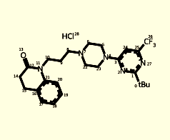 CC(C)(C)c1nc(N2CCN(CCCN3C(=O)CCc4ccccc43)CC2)cc(C(F)(F)F)n1.Cl